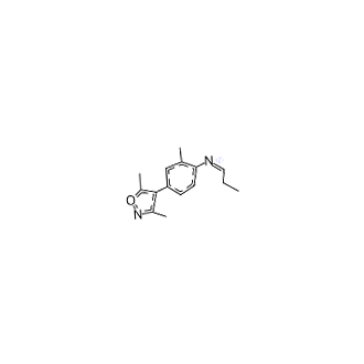 CC/C=N\c1ccc(-c2c(C)noc2C)cc1C